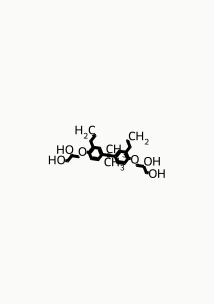 C=CCc1cc(C(C)(C)c2ccc(OCC(O)CO)c(CC=C)c2)ccc1OCC(O)CO